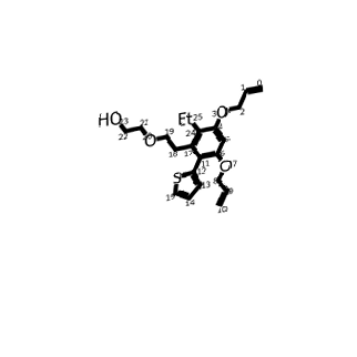 C=CCOc1cc(OCC=C)c(-c2[c]ccs2)c(CCOCCO)c1CC